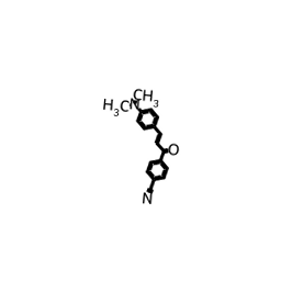 CN(C)c1ccc(/C=C/C(=O)c2ccc(C#N)cc2)cc1